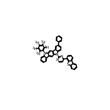 [2H]c1c([2H])c([2H])c(-n2c3ccccc3c3cc4c(cc32)c2cc(-c3ccccc3)ccc2n4-c2nccc(-c3cccc4c3sc3ccccc34)n2)c([2H])c1[2H]